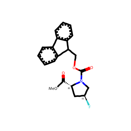 COC(=O)[C@H]1C[C@H](F)CN1C(=O)OCC1c2ccccc2-c2ccccc21